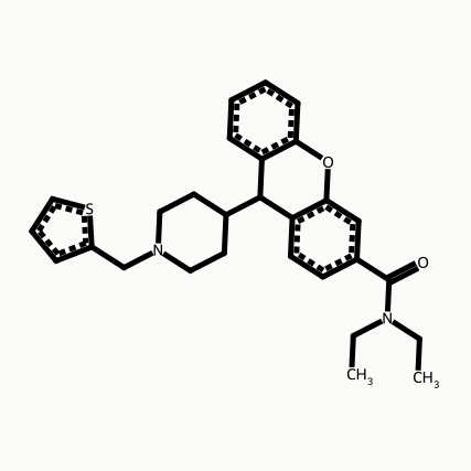 CCN(CC)C(=O)c1ccc2c(c1)Oc1ccccc1C2C1CCN(Cc2cccs2)CC1